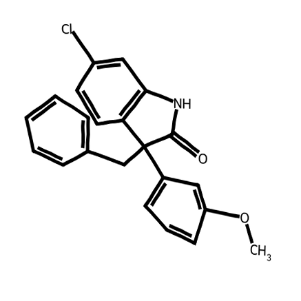 COc1cccc(C2(Cc3ccccc3)C(=O)Nc3cc(Cl)ccc32)c1